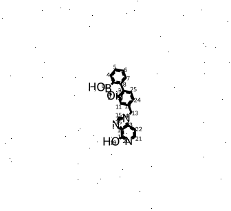 OB(O)c1ccccc1-c1ccc(Cn2cnc3c(O)nccc32)cc1